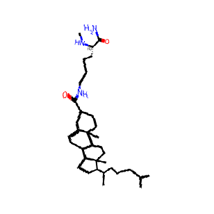 CN[C@@H](CCCCNC(=O)C1CCC2(C)C(=CCC3C2CCC2(C)C(C(C)CCCC(C)C)CCC32)C1)C(N)=O